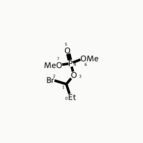 CCC(Br)OP(=O)(OC)OC